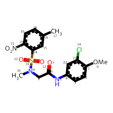 COc1ccc(NC(=O)CN(C)S(=O)(=O)c2cc(C)ccc2[N+](=O)[O-])cc1Cl